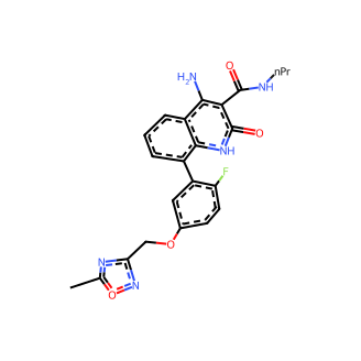 CCCNC(=O)c1c(N)c2cccc(-c3cc(OCc4noc(C)n4)ccc3F)c2[nH]c1=O